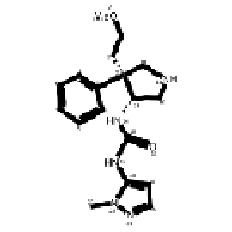 COCC[C@]1(c2ccccc2)CNC[C@@H]1NC(=O)Nc1ccnn1C